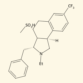 CCN1C[C@@H]2c3ccc(C(F)(F)F)cc3CCC2[C@H]1Cc1ccccc1.CS(=O)(=O)O